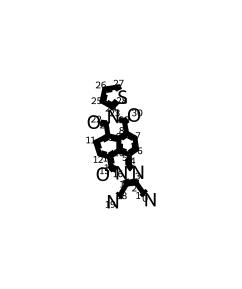 N#Cc1nc2c3ccc4c5c(ccc(c(=O)n2c1C#N)c53)C(=O)N(c1cccs1)C4=O